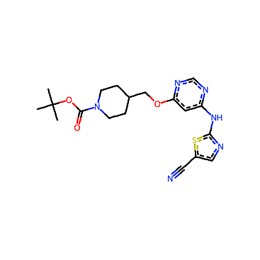 CC(C)(C)OC(=O)N1CCC(COc2cc(Nc3ncc(C#N)s3)ncn2)CC1